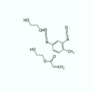 C=CC(=O)OCCO.Cc1ccc(N=C=O)cc1N=C=O.OCCO